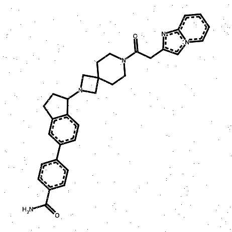 NC(=O)c1ccc(-c2ccc3c(c2)CCC3N2CC3(CCN(C(=O)Cc4cn5ccccc5n4)CC3)C2)cc1